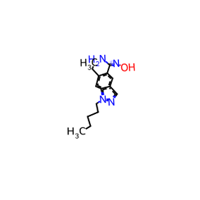 CCCCCn1ncc2cc(/C(N)=N\O)c(CC)cc21